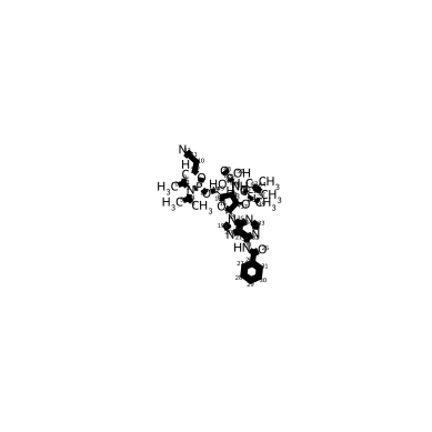 CC(C)N(C(C)C)P(OCCC#N)OC[C@H]1O[C@@H](n2cnc3c(NC(=O)c4ccccc4)ncnc32)[C@H](O[Si](C)(C)C(C)(C)C)[C@@H]1NP(=O)(O)O